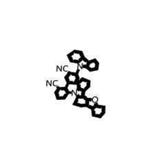 N#Cc1cc(-c2c(C#N)cccc2-n2c3ccccc3c3c4oc5ccccc5c4ccc32)ccc1-n1c2ccccc2c2ccccc21